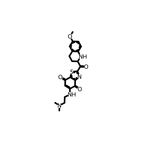 COc1ccc2c(c1)CCC(C(=O)c1nc3c(s1)C(=O)C=C(NCCN(C)C)C3=O)N2